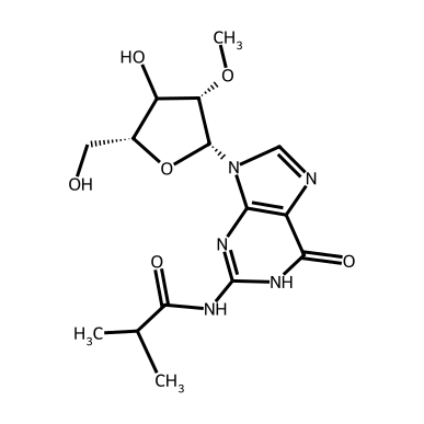 CO[C@H]1C(O)[C@@H](CO)O[C@H]1n1cnc2c(=O)[nH]c(NC(=O)C(C)C)nc21